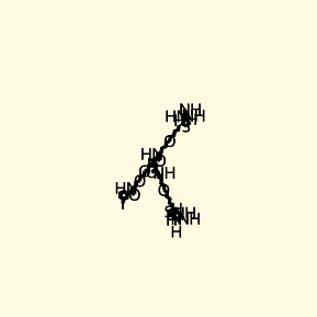 N=C1N[C@H]2[C@H](CS[C@H]2CCCCCOCCCCNC(=O)CN(CCOCCOCCNC(=O)c2cccc(I)c2)CC(=O)NCCCCOCCCCC[C@@H]2SC[C@@H]3NC(=N)N[C@@H]32)N1